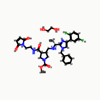 CC(C)(C)OC(=O)N1CC(CN[C@@H](c2nc(-c3cc(F)ccc3F)cn2Cc2ccccc2)C(C)(C)C)C(C(=O)NCCN2C(=O)C=CC2=O)C1.OCCO